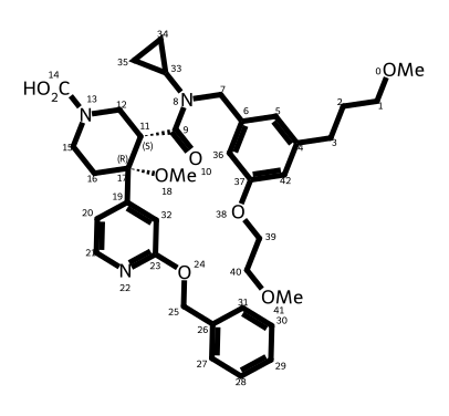 COCCCc1cc(CN(C(=O)[C@H]2CN(C(=O)O)CC[C@]2(OC)c2ccnc(OCc3ccccc3)c2)C2CC2)cc(OCCOC)c1